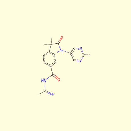 CC(=N)NC(=O)c1ccc2c(c1)N(c1cnc(C)nc1)C(=O)C2(C)C